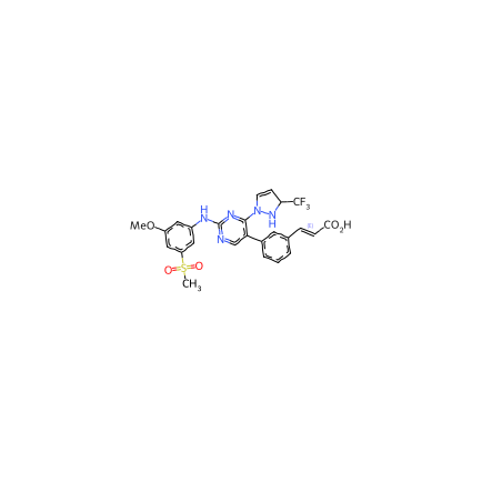 COc1cc(Nc2ncc(-c3cccc(/C=C/C(=O)O)c3)c(N3C=CC(C(F)(F)F)N3)n2)cc(S(C)(=O)=O)c1